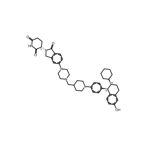 O=C1CC[C@H](N2Cc3cc(N4CCN(CC5CCN(c6ccc([C@@H]7c8ccc(O)cc8CC[C@@H]7C7CCCCC7)cc6)CC5)CC4)ccc3C2=O)C(=O)N1